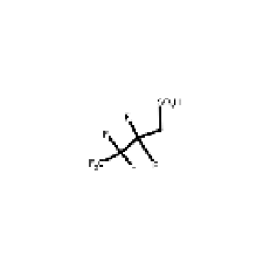 O=S(=O)(O)CC(F)(F)C(F)(F)C(F)(F)F